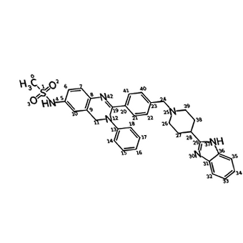 CS(=O)(=O)Nc1ccc2c(c1)CN(c1ccccc1)C(c1ccc(CN3CCC(c4nc5ccccc5[nH]4)CC3)cc1)=N2